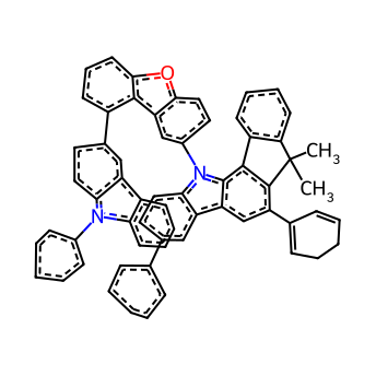 CC1(C)c2ccccc2-c2c1c(C1=CCCC=C1)cc1c3cc(-c4ccccc4)ccc3n(-c3ccc4oc5cccc(-c6ccc7c(c6)c6ccccc6n7-c6ccccc6)c5c4c3)c21